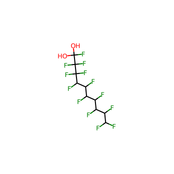 OC(O)(F)C(F)(F)C(F)(F)C(F)C(F)C(F)C(F)C(F)C(F)C(F)F